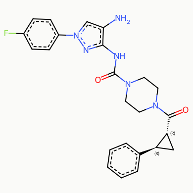 Nc1cn(-c2ccc(F)cc2)nc1NC(=O)N1CCN(C(=O)[C@@H]2C[C@H]2c2ccccc2)CC1